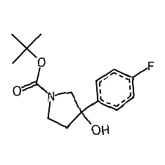 CC(C)(C)OC(=O)N1CCC(O)(c2ccc(F)cc2)C1